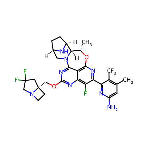 Cc1cc(N)nc(-c2nc3c4c(nc(OC[C@]56CCN5CC(F)(F)C6)nc4c2F)N2C[C@H]4CC[C@H](N4)[C@H]2[C@H](C)O3)c1C(F)(F)F